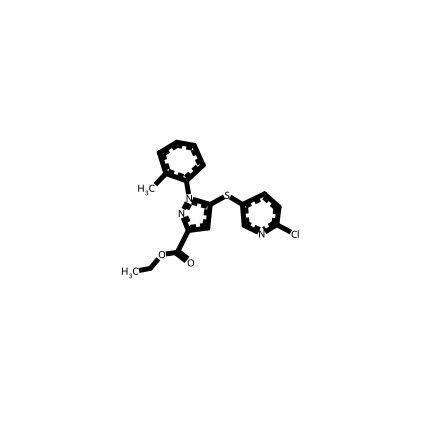 CCOC(=O)c1cc(Sc2ccc(Cl)nc2)n(-c2ccccc2C)n1